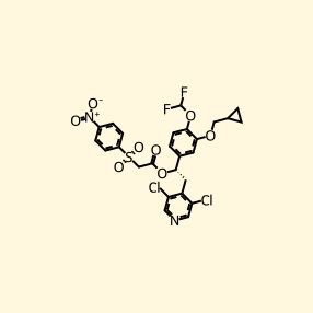 O=C(CS(=O)(=O)c1ccc([N+](=O)[O-])cc1)O[C@@H](Cc1c(Cl)cncc1Cl)c1ccc(OC(F)F)c(OCC2CC2)c1